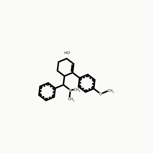 COc1ccc(C2=CCCCC2C(c2ccccc2)N(C)C)cc1.Cl